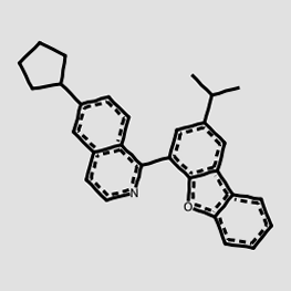 CC(C)c1cc(-c2nccc3cc(C4CCCC4)ccc23)c2oc3ccccc3c2c1